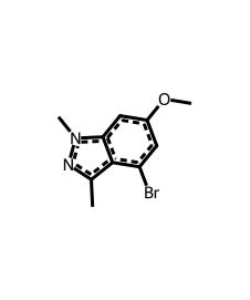 COc1cc(Br)c2c(C)nn(C)c2c1